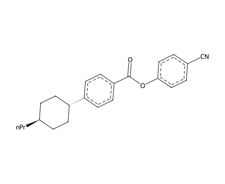 CCC[C@H]1CC[C@H](c2ccc(C(=O)Oc3ccc(C#N)cc3)cc2)CC1